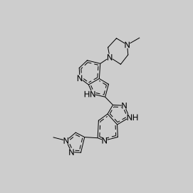 CN1CCN(c2ccnc3[nH]c(-c4n[nH]c5cnc(-c6cnn(C)c6)cc45)cc23)CC1